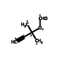 C#CC(C)(C)OC=O